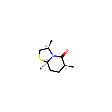 C[C@@H]1CS[C@@H]2CC[C@H](C)C(=O)N12